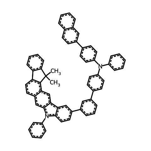 CC1(C)c2ccccc2-c2ccc3cc4c(cc3c21)c1cc(-c2cccc(-c3ccc(N(c5ccccc5)c5ccc(-c6ccc7ccccc7c6)cc5)cc3)c2)ccc1n4-c1ccccc1